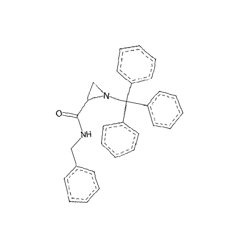 O=C(NCc1ccccc1)C1CN1C(c1ccccc1)(c1ccccc1)c1ccccc1